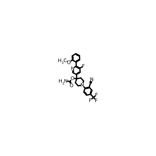 COc1ccccc1-c1ncc(C2(OC(N)=O)CCN(c3ccc(C(F)(F)F)cc3C#N)CC2)cc1F